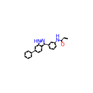 C=CC(=O)Nc1cccc(-c2n[nH]c3cc(-c4ccccc4)ccc23)c1